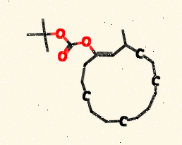 CC1/C=C(\OC(=O)OC(C)(C)C)CCCCCCCCCCCC1